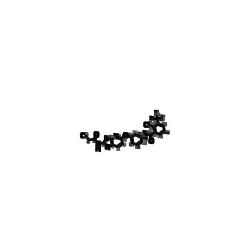 O=C(CCl)Nc1nc2ccc(Oc3cccc(NC(=O)c4cccc(C(F)(F)F)c4Cl)c3)nc2s1